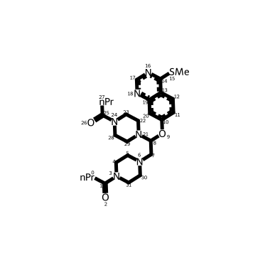 CCCC(=O)N1CCN(CC(Oc2ccc3c(SC)ncnc3c2)N2CCN(C(=O)CCC)CC2)CC1